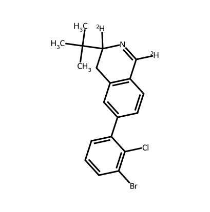 [2H]C1=NC([2H])(C(C)(C)C)Cc2cc(-c3cccc(Br)c3Cl)ccc21